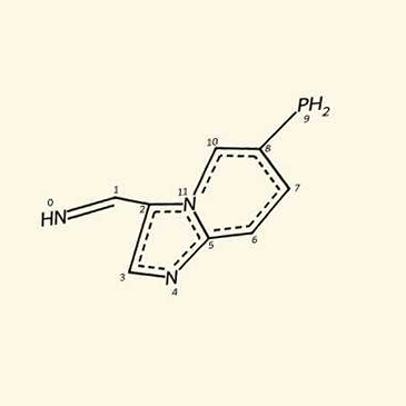 N=Cc1cnc2ccc(P)cn12